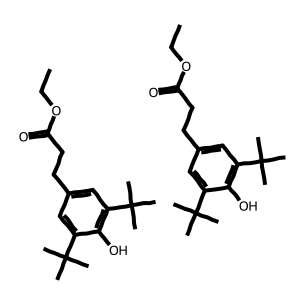 CCOC(=O)CCc1cc(C(C)(C)C)c(O)c(C(C)(C)C)c1.CCOC(=O)CCc1cc(C(C)(C)C)c(O)c(C(C)(C)C)c1